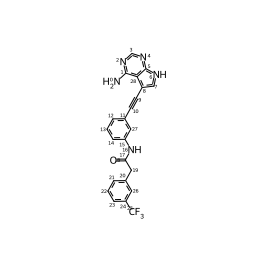 Nc1ncnc2[nH]cc(C#Cc3cccc(NC(=O)Cc4cccc(C(F)(F)F)c4)c3)c12